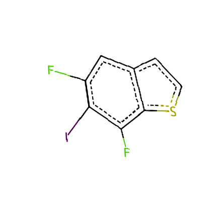 Fc1cc2ccsc2c(F)c1I